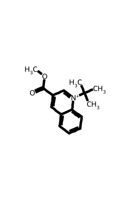 COC(=O)c1cc2ccccc2[n+](C(C)(C)C)c1